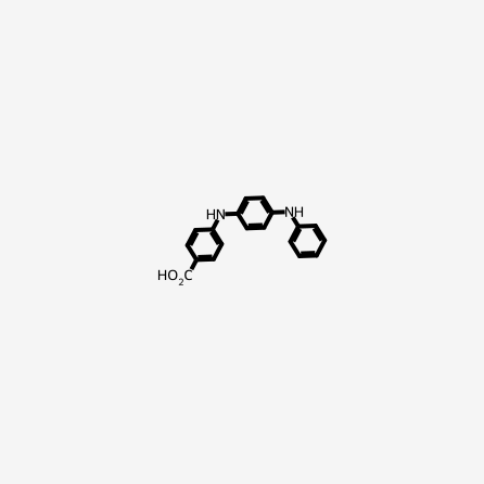 O=C(O)c1ccc(Nc2ccc(Nc3ccccc3)cc2)cc1